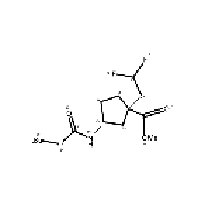 COC(=O)[C@]1(CC(F)F)CC[C@@H](NC(=O)OC(C)(C)C)C1